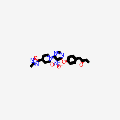 CCC(=O)Cc1ccc(Oc2ncnc(N3CCC(c4nc(C)no4)CC3)c2[N+](=O)[O-])cc1